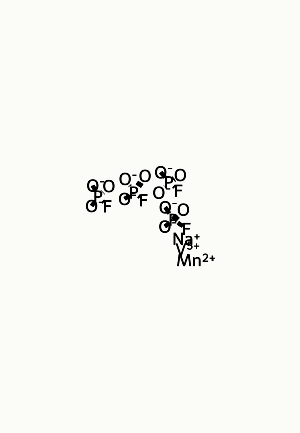 O=P([O-])([O-])F.O=P([O-])([O-])F.O=P([O-])([O-])F.O=P([O-])([O-])F.[Mn+2].[Na+].[V+5]